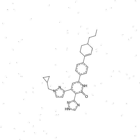 CCCC1CC=C(c2ccc(-c3cc(-c4ccn(CC5CC5)n4)c(-c4nc[nH]n4)c(=O)[nH]3)cc2)CC1